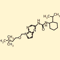 CC(C)C1CCCCC1NC(=O)Nc1cnc2c(ccn2COCC[Si](C)(C)C)n1